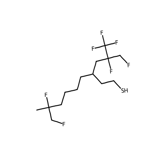 CC(F)(CF)CCCCC(CCS)CC(F)(CF)C(F)(F)F